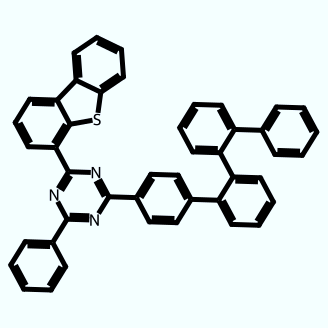 c1ccc(-c2nc(-c3ccc(-c4ccccc4-c4ccccc4-c4ccccc4)cc3)nc(-c3cccc4c3sc3ccccc34)n2)cc1